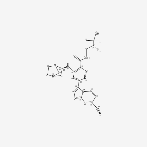 CC(C)(O)[C@H](F)CNC(=O)c1cnc(-c2ccc3cc(C#N)cnn23)cc1N[C@H]1CN2CCC1C2